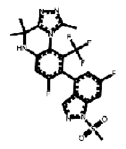 Cc1nnc2n1-c1c(cc(F)c(-c3cc(F)cc4c3cnn4S(C)(=O)=O)c1C(F)(F)F)NC2(C)C